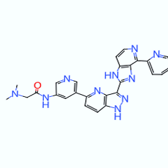 CN(C)CC(=O)Nc1cncc(-c2ccc3[nH]nc(-c4nc5c(-c6ccccn6)nccc5[nH]4)c3n2)c1